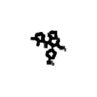 Cc1cccc(Nc2c3nccn3nc(N)c2[C@H]2CC[C@H](N)CC2)c1C